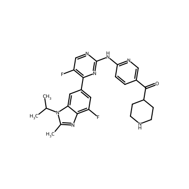 Cc1nc2c(F)cc(-c3nc(Nc4ccc(C(=O)C5CCNCC5)cn4)ncc3F)cc2n1C(C)C